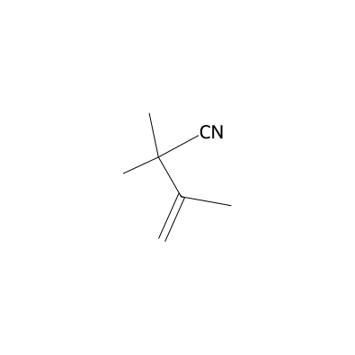 C=C(C)C(C)(C)C#N